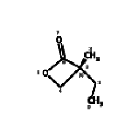 CC[C@]1(C)COC1=O